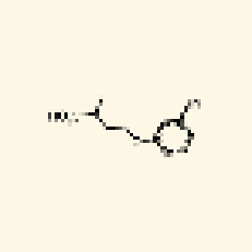 CC(C)c1cccc(OCCC(C)S(=O)(=O)O)c1